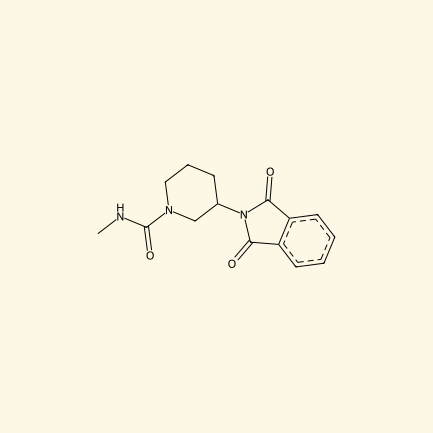 CNC(=O)N1CCCC(N2C(=O)c3ccccc3C2=O)C1